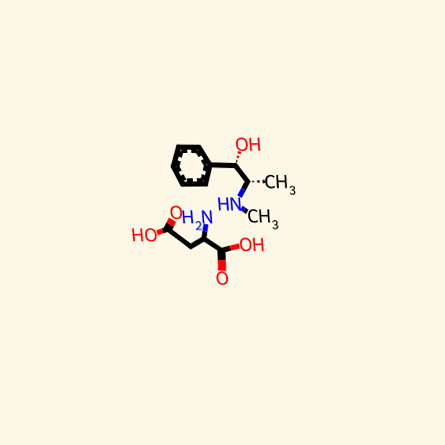 CN[C@@H](C)[C@@H](O)c1ccccc1.NC(CC(=O)O)C(=O)O